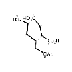 CC(=O)OCCCCO.O=C(O)CCC(=O)O